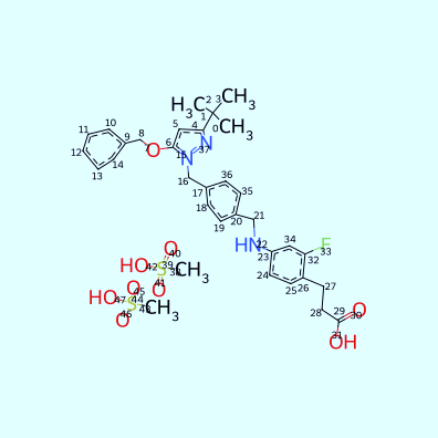 CC(C)(C)c1cc(OCc2ccccc2)n(Cc2ccc(CNc3ccc(CCC(=O)O)c(F)c3)cc2)n1.CS(=O)(=O)O.CS(=O)(=O)O